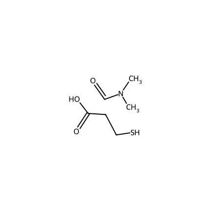 CN(C)C=O.O=C(O)CCS